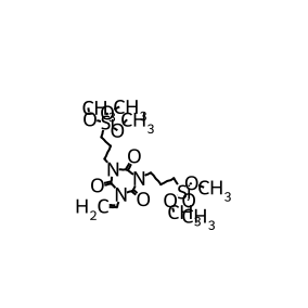 C=Cn1c(=O)n(CCC[Si](OC)(OC)OC)c(=O)n(CCC[Si](OC)(OC)OC)c1=O